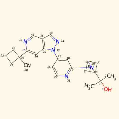 CC(C)(O)C12CC(C1)N(c1cc(-n3ncc4cnc(C5(C#N)CCC5)cc43)ccn1)C2